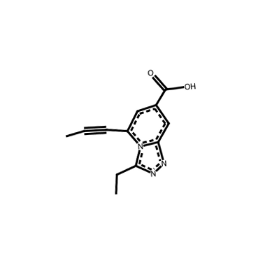 CC#Cc1cc(C(=O)O)cc2nnc(CC)n12